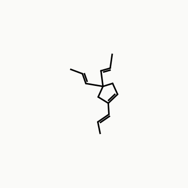 CC=CC1=CCC(C=CC)(C=CC)C1